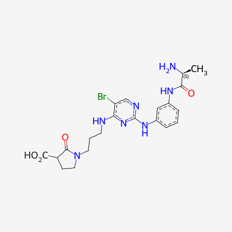 C[C@H](N)C(=O)Nc1cccc(Nc2ncc(Br)c(NCCCN3CCC(C(=O)O)C3=O)n2)c1